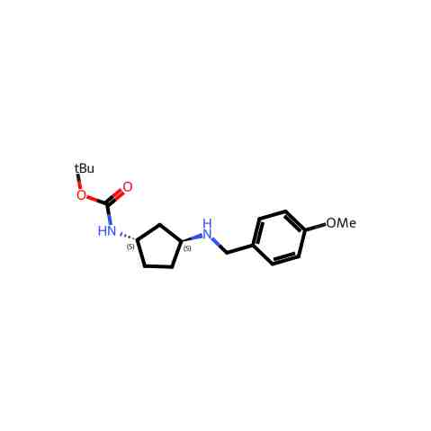 COc1ccc(CN[C@H]2CC[C@H](NC(=O)OC(C)(C)C)C2)cc1